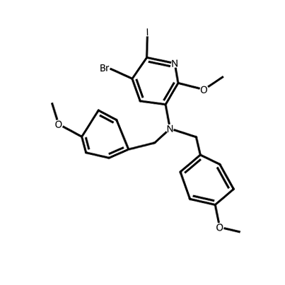 COc1ccc(CN(Cc2ccc(OC)cc2)c2cc(Br)c(I)nc2OC)cc1